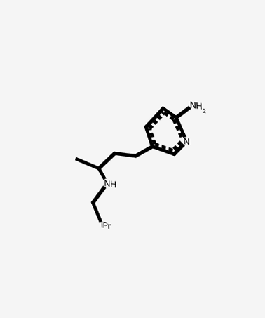 CC(C)CNC(C)CCc1ccc(N)nc1